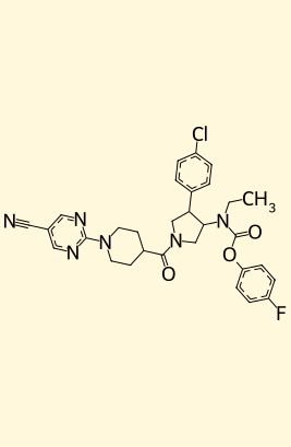 CCN(C(=O)Oc1ccc(F)cc1)C1CN(C(=O)C2CCN(c3ncc(C#N)cn3)CC2)CC1c1ccc(Cl)cc1